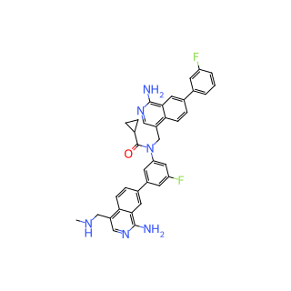 CNCc1cnc(N)c2cc(-c3cc(F)cc(N(Cc4cnc(N)c5cc(-c6cccc(F)c6)ccc45)C(=O)C4CC4)c3)ccc12